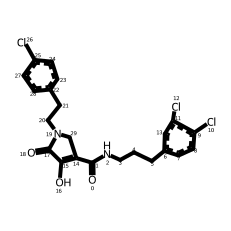 O=C(NCCCc1ccc(Cl)c(Cl)c1)C1=C(O)C(=O)N(CCc2ccc(Cl)cc2)C1